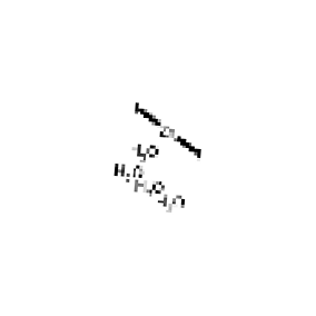 O.O.O.O.[I][Zn][I]